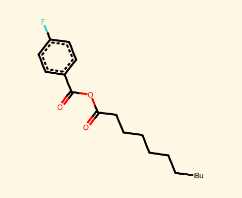 CCC(C)CCCCCCC(=O)OC(=O)c1ccc(F)cc1